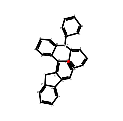 c1ccc(P(c2ccccc2)c2ccccc2-c2cccc3c2Cc2ccccc2-3)cc1